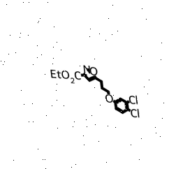 CCOC(=O)c1cc(CCCOc2ccc(Cl)c(Cl)c2)on1